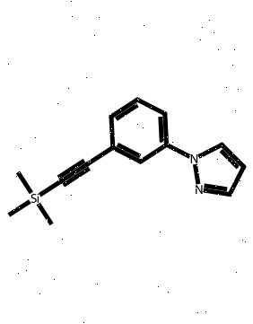 C[Si](C)(C)C#Cc1cccc(-n2cccn2)c1